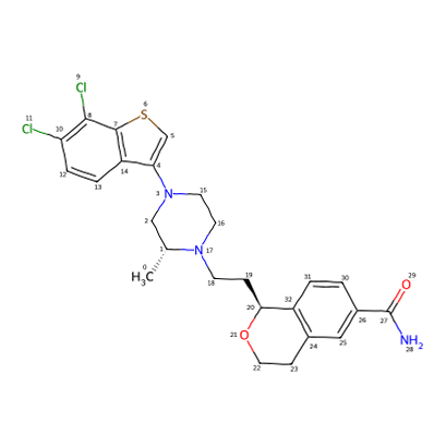 C[C@@H]1CN(c2csc3c(Cl)c(Cl)ccc23)CCN1CC[C@@H]1OCCc2cc(C(N)=O)ccc21